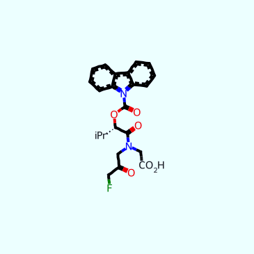 CC(C)[C@H](OC(=O)n1c2ccccc2c2ccccc21)C(=O)N(CC(=O)O)CC(=O)CF